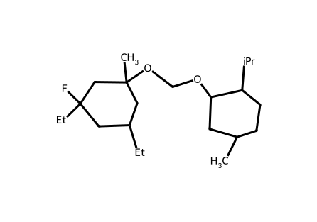 CCC1CC(F)(CC)CC(C)(OCOC2CC(C)CCC2C(C)C)C1